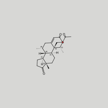 CC(=O)OC[C@@]12C(=CC(=O)C[C@@H]1C)C[C@@H](C)[C@@H]1[C@@H]2CC[C@]2(C)C(=O)CC[C@@H]12